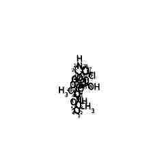 Cc1ccccc1C(=O)Nc1ccc(C(=O)C(C(=O)OC2CCCNc3ccc(Cl)cc32)S(=O)(=O)CC(=O)O)c(C)c1